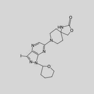 O=C1NC2(CCN(c3cnc4c(I)nn(C5CCCCO5)c4n3)CC2)CO1